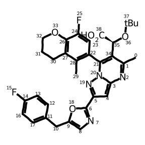 Cc1nc2cc(-c3ncc(Cc4ccc(F)cc4)o3)nn2c(-c2cc(F)c3c(c2C)CCCO3)c1[C@H](OC(C)(C)C)C(=O)O